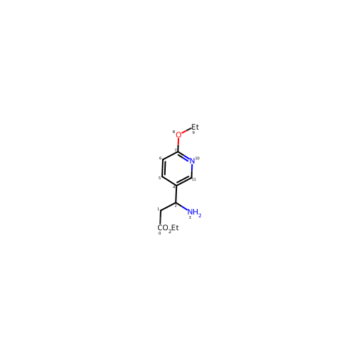 CCOC(=O)CC(N)c1ccc(OCC)nc1